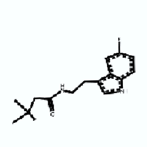 CC(C)(C)CC(=O)NCCc1c[nH]c2ccc(F)cc12